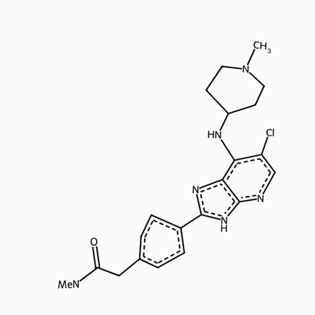 CNC(=O)Cc1ccc(-c2nc3c(NC4CCN(C)CC4)c(Cl)cnc3[nH]2)cc1